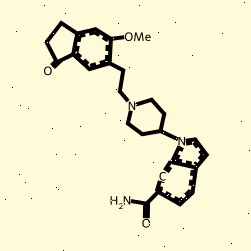 COc1cc2c(cc1CCN1CCC(n3ccc4ccc(C(N)=O)cc43)CC1)C(=O)CC2